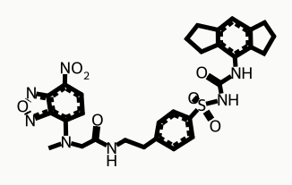 CN(CC(=O)NCCc1ccc(S(=O)(=O)NC(=O)Nc2c3c(cc4c2CCC4)CCC3)cc1)c1ccc([N+](=O)[O-])c2nonc12